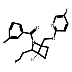 Cc1cccc(C(=O)N2C(CCI)[C@@H]3CCC32COc2ccc(F)cn2)c1